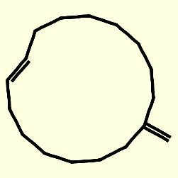 C=C1CCCCCC/C=C/CCCCCCC1